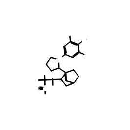 Cc1cc([S+]2CCCC2C23CCC(CC2C(F)(F)C(F)(F)S(=O)(=O)[O-])C3)cc(C)c1O